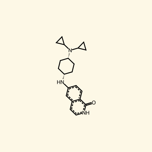 O=c1[nH]ccc2cc(N[C@H]3CC[C@@H](N(C4CC4)C4CC4)CC3)ccc12